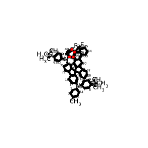 Cc1ccc(N(c2ccc([Si](C)(C)C)cc2)c2ccc3c(c2)C2(c4ccccc4-c4cc5c6ccccc6c6ccccc6c5cc42)c2cc(N(c4ccc(C(F)(F)F)cc4)c4ccc([Si](C)(C)C)cc4)ccc2-3)cc1